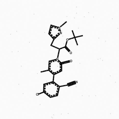 Cc1cn(C(Cc2ccn(C)n2)C(=O)OC(C)(C)C)c(=O)cc1-c1cc(Cl)ccc1C#N